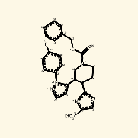 CCOC(=O)c1csc(C2CCN(C(=O)OCc3ccccc3)CC2c2ccnn2-c2ccc(F)cc2)n1